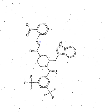 O=C(/C=C/c1ccccc1[N+](=O)[O-])N1CCN(C(=O)c2cc(C(F)(F)F)cc(C(F)(F)F)c2)C(Cc2c[nH]c3ccccc23)C1